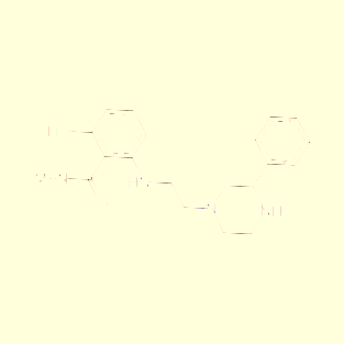 CNC(=O)c1c(O)cccc1NCCN1CCNC(c2ccccc2)C1